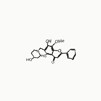 COc1c(O)c(CN2CCC(O)CC2)c(O)c2c(=O)cc(-c3ccccc3)oc12